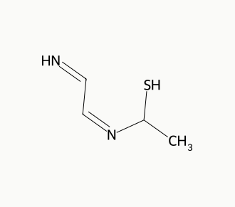 CC(S)/N=C\C=N